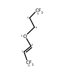 FC(F)(F)C=COCCC(F)(F)F